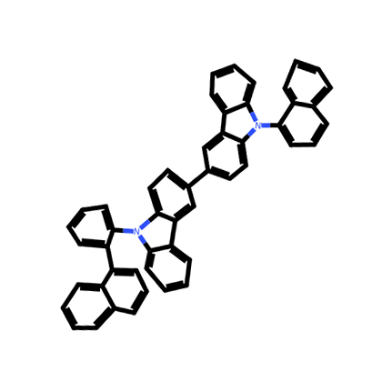 c1ccc(-n2c3ccccc3c3cc(-c4ccc5c(c4)c4ccccc4n5-c4cccc5ccccc45)ccc32)c(-c2cccc3ccccc23)c1